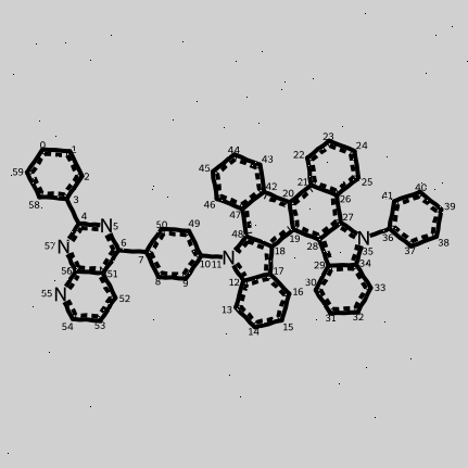 c1ccc(-c2nc(-c3ccc(-n4c5ccccc5c5c6c(c7ccccc7c7c6c6ccccc6n7-c6ccccc6)c6ccccc6c54)cc3)c3cccnc3n2)cc1